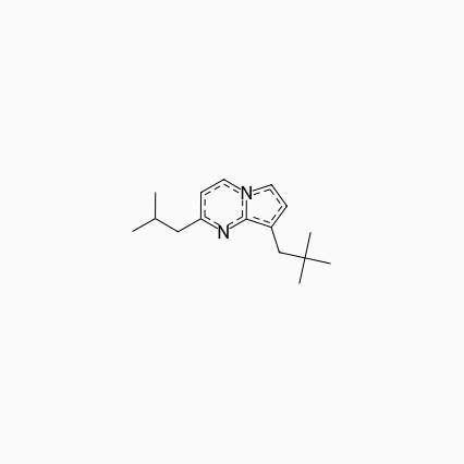 CC(C)Cc1ccn2ccc(CC(C)(C)C)c2n1